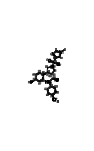 Cn1cnc(S(=O)(=O)N2C[C@H](C(=O)Nc3ccc(C(F)(F)F)cc3)[C@@H](c3ccc(F)cc3)C2)c1